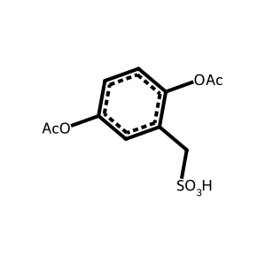 CC(=O)Oc1ccc(OC(C)=O)c(CS(=O)(=O)O)c1